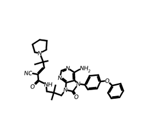 CC(C)(CNC(=O)C(C#N)=CC(C)(C)N1CCCCC1)Cn1c(=O)n(-c2ccc(Oc3ccccc3)cc2)c2c(N)ncnc21